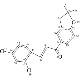 CC1(C)Cc2cc(C(=O)C=Cc3ccc(Cl)cc3Cl)ccc2O1